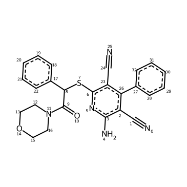 N#Cc1c(N)nc(SC(C(=O)N2CCOCC2)c2ccccc2)c(C#N)c1-c1ccccc1